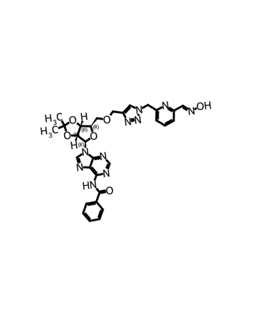 CC1(C)O[C@@H]2[C@H](O1)[C@@H](COCc1cn(Cc3cccc(C=NO)n3)nn1)O[C@H]2n1cnc2c(NC(=O)c3ccccc3)ncnc21